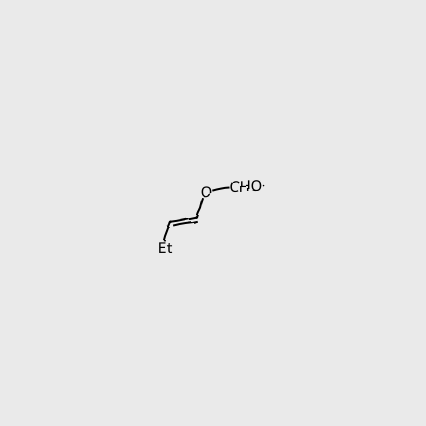 CCC=CO[C]=O